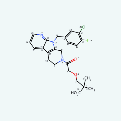 CC(C)(COCC(=O)N1CCc2c(n(Cc3ccc(F)c(Cl)c3)c3ncccc23)C1)C(=O)O